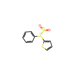 O=[SH](=O)[SH](c1ccccc1)c1cccs1